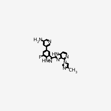 Cc1cn(-c2nccc3[nH]c(-c4n[nH]c5c(F)cc(-c6cncc(N)c6)cc45)nc23)cn1